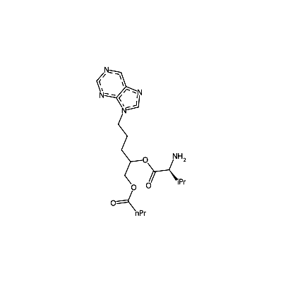 CCCC(=O)OCC(CCCn1cnc2cncnc21)OC(=O)[C@@H](N)C(C)C